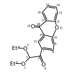 CCOC(OCC)C(=O)c1ccc2oc3ccccc3c(=O)c2c1